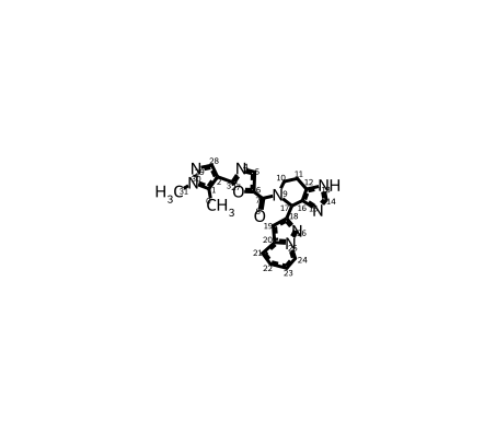 Cc1c(-c2ncc(C(=O)N3CCc4[nH]cnc4C3c3cc4ccccn4n3)o2)cnn1C